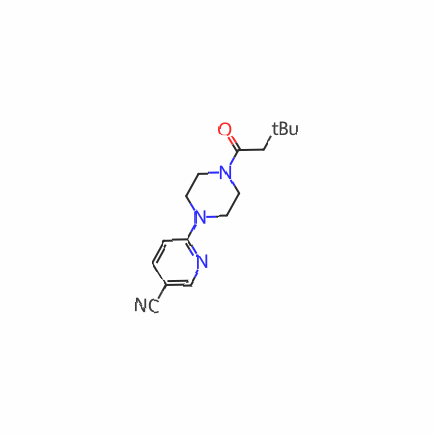 CC(C)(C)CC(=O)N1CCN(c2ccc(C#N)cn2)CC1